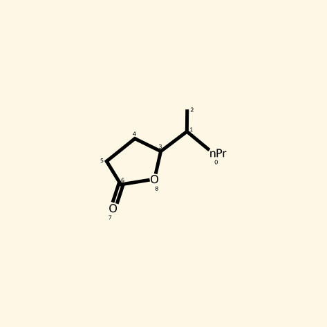 CCCC(C)C1CCC(=O)O1